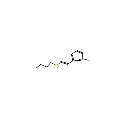 CCCCS/C=C/c1cccc(C)c1